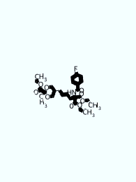 CCOC(=O)C(CCCC[C@H]1CO[C@@](C)(C(=O)OCC)OC1)(NC(=O)c1ccc(F)cc1)C(=O)OCC